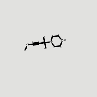 CSC#CC(C)(C)N1CCOCC1